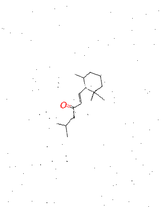 CC(C)CC(=O)C=CC1C(C)CCCC1(C)C